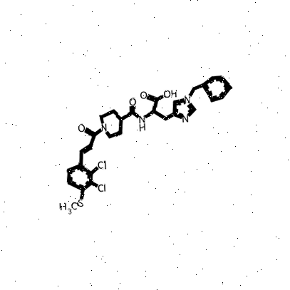 CSc1ccc(C=CC(=O)N2CCC(C(=O)NC(Cc3cn(Cc4ccccc4)cn3)C(=O)O)CC2)c(Cl)c1Cl